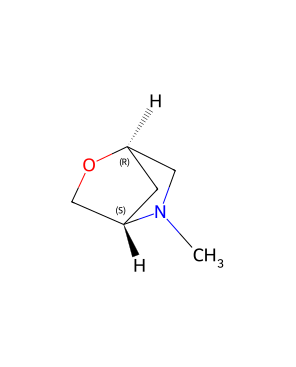 CN1C[C@H]2C[C@H]1CO2